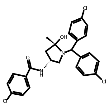 C[C@]1(O)C[C@@H](NC(=O)c2ccc(Cl)cc2)CN1C(c1ccc(Cl)cc1)c1ccc(Cl)cc1